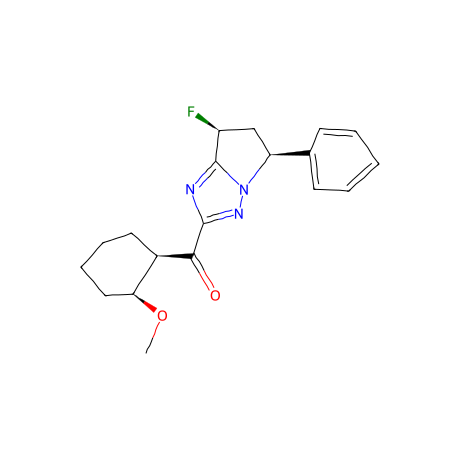 CO[C@H]1CCCC[C@H]1C(=O)c1nc2n(n1)[C@H](c1ccccc1)C[C@@H]2F